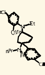 CCCN(CCC)C1(c2ccc(Cl)cc2)CCC(N(CC)c2ccc(Cl)cc2OC)CC1